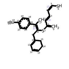 C=C(/C=C/C=C\S)S/C(CC1=CC=CCC1)=C(\C)c1ccc(C(C)(C)C)cc1